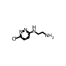 NCCNc1ccc(Cl)nn1